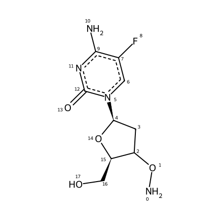 NOC1C[C@H](n2cc(F)c(N)nc2=O)O[C@@H]1CO